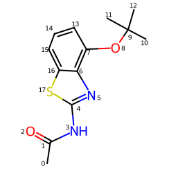 CC(=O)Nc1nc2c(OC(C)(C)C)cccc2s1